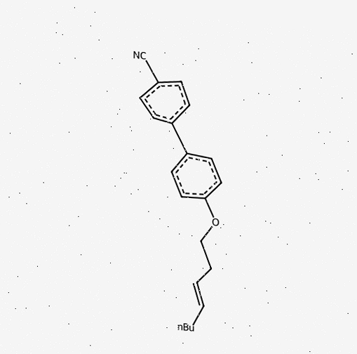 CCCCC=CCCOc1ccc(-c2ccc(C#N)cc2)cc1